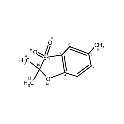 Cc1ccc2c(c1)S(=O)(=O)C(C)(C)O2